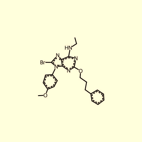 CCNc1nc(OCCCc2ccccc2)nc2c1nc(Br)n2-c1ccc(OC)cc1